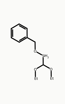 CCOC(OCC)[SiH2]OCc1ccccc1